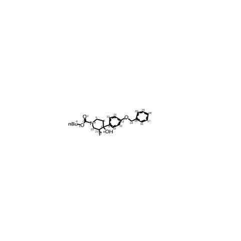 CCCCOC(=O)N1CCC(O)(c2ccc(OCc3ccccc3)cc2)C(F)C1